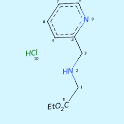 CCOC(=O)CNCc1ccccn1.Cl